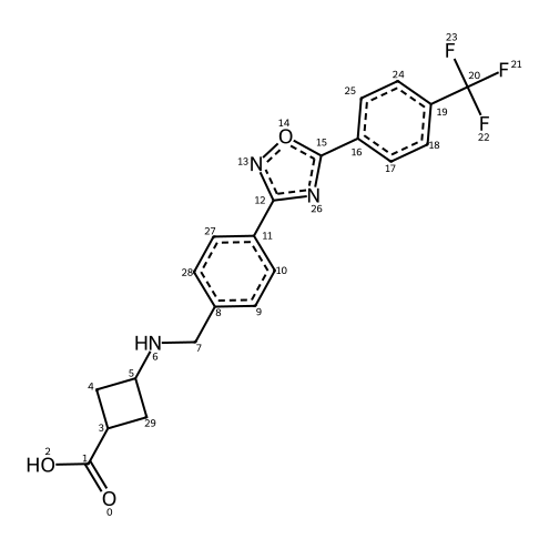 O=C(O)C1CC(NCc2ccc(-c3noc(-c4ccc(C(F)(F)F)cc4)n3)cc2)C1